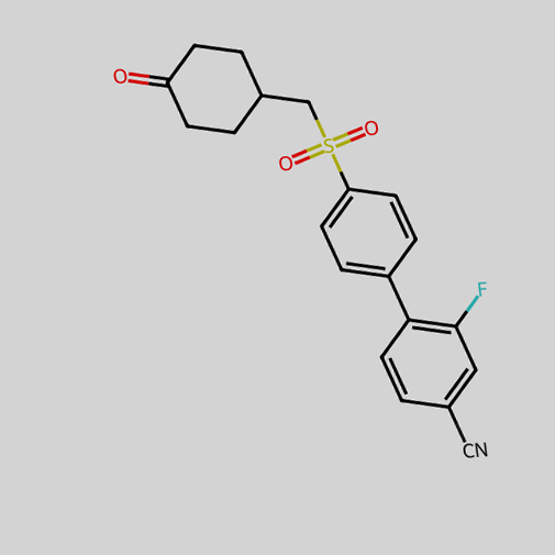 N#Cc1ccc(-c2ccc(S(=O)(=O)CC3CCC(=O)CC3)cc2)c(F)c1